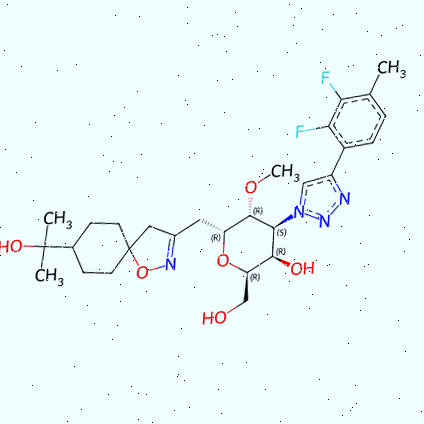 CO[C@@H]1[C@@H](n2cc(-c3ccc(C)c(F)c3F)nn2)[C@@H](O)[C@@H](CO)O[C@@H]1CC1=NOC2(CCC(C(C)(C)O)CC2)C1